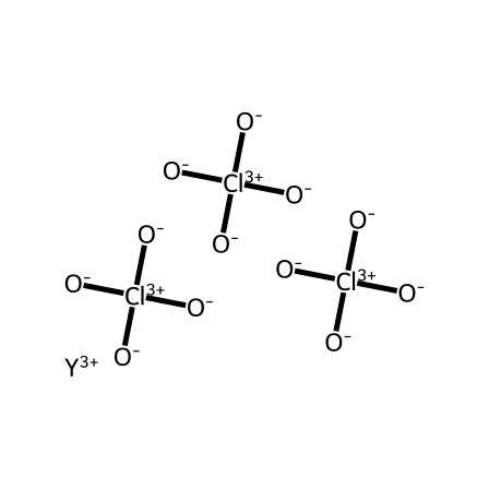 [O-][Cl+3]([O-])([O-])[O-].[O-][Cl+3]([O-])([O-])[O-].[O-][Cl+3]([O-])([O-])[O-].[Y+3]